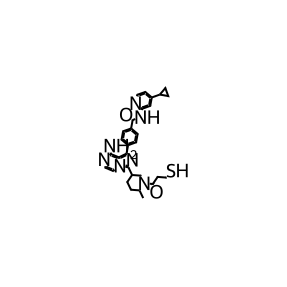 CC1CCC(c2nc(-c3ccc(C(=O)Nc4cc(C5CC5)ccn4)cc3)c3c(N)nccn23)CN1C(=O)CCS